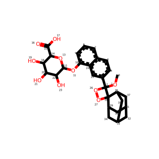 COC1(c2ccc3cccc(OC4OC(C(=O)O)C(O)C(O)C4O)c3c2)OOC12C1CC3CC(C1)CC2C3